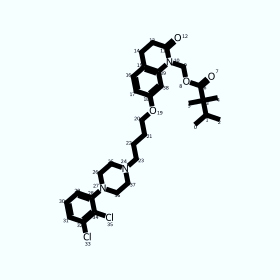 CC(C)C(C)(C)C(=O)OCN1C(=O)CCc2ccc(OCCCCN3CCN(c4cccc(Cl)c4Cl)CC3)cc21